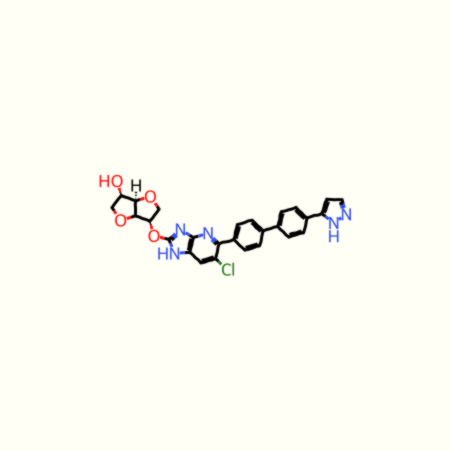 O[C@@H]1COC2[C@H](Oc3nc4nc(-c5ccc(-c6ccc(-c7ccn[nH]7)cc6)cc5)c(Cl)cc4[nH]3)CO[C@@H]21